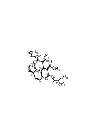 CCOC(=O)C1=C(C)NC(C)=C(C(=O)OCC(C)C)C1c1cccc2nonc12